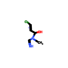 CN(C=N)C(O)/C=C/Cl